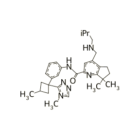 CC(C)CNCc1cc(C(=O)Nc2cccc(C3(c4nncn4C)CC(C)C3)c2)nc2c1CCC2(C)C